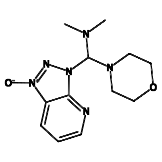 CN(C)C(N1CCOCC1)n1n[n+]([O-])c2cccnc21